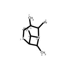 CC(C)C1C(C)CSC2C(C)N1C2C